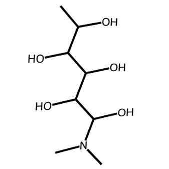 CC(O)C(O)C(O)C(O)C(O)N(C)C